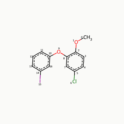 COc1ccc(Cl)cc1Oc1cccc(I)c1